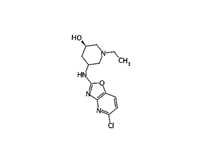 CCN1CC(Nc2nc3nc(Cl)ccc3o2)C[C@@H](O)C1